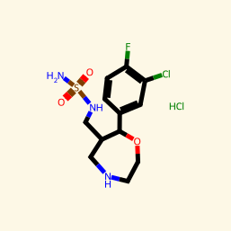 Cl.NS(=O)(=O)NCC1CNCCOC1c1ccc(F)c(Cl)c1